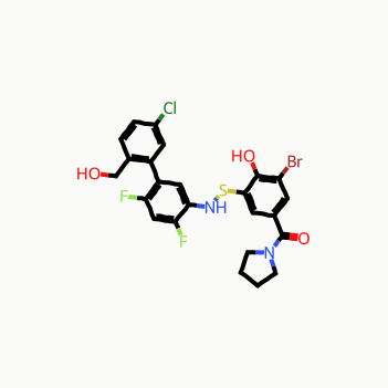 O=C(c1cc(Br)c(O)c(SNc2cc(-c3cc(Cl)ccc3CO)c(F)cc2F)c1)N1CCCC1